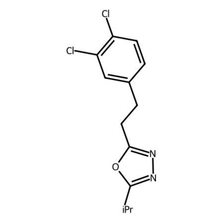 CC(C)c1nnc(CCc2ccc(Cl)c(Cl)c2)o1